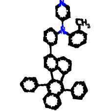 Cc1ccccc1N(c1ccncc1)c1cccc(-c2ccc3c4c(cccc24)-c2c-3c(-c3ccccc3)c3ccccc3c2-c2ccccc2)c1